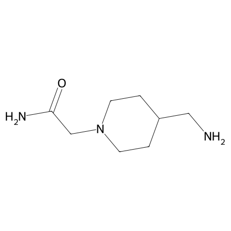 NCC1CCN(CC(N)=O)CC1